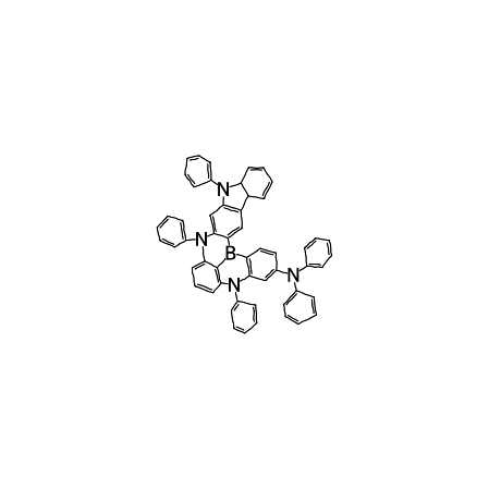 C1=CC2c3cc4c(cc3N(c3ccccc3)C2C=C1)N(c1ccccc1)c1cccc2c1B4c1ccc(N(c3ccccc3)c3ccccc3)cc1N2c1ccccc1